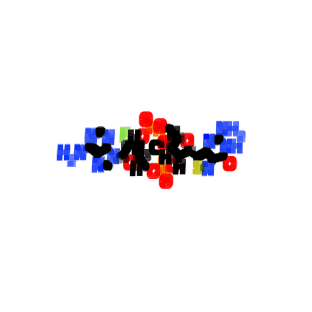 CO[C@H]1[C@H]2O[PH](=O)OC[C@H]3O[C@@H](n4cnc5c(N)ncnc54)[C@H](F)[C@@H]3O[PH](=O)OC[C@H]1O[C@H]2c1snc2c(=O)[nH]c(N)nc12